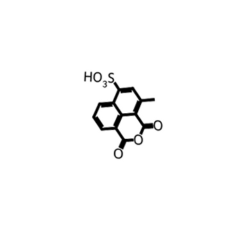 Cc1cc(S(=O)(=O)O)c2cccc3c2c1C(=O)OC3=O